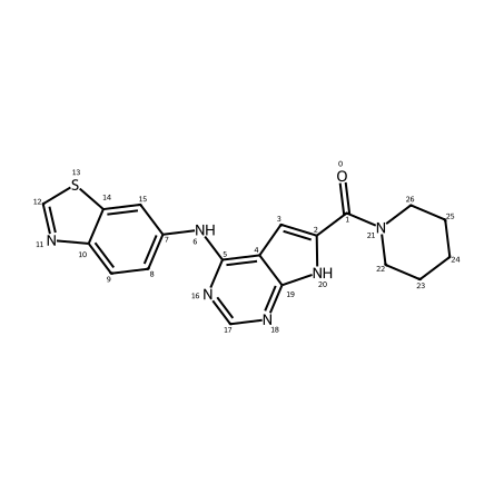 O=C(c1cc2c(Nc3ccc4ncsc4c3)ncnc2[nH]1)N1CCCCC1